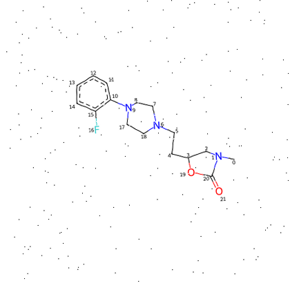 CN1CC(CCN2CCN(c3ccccc3F)CC2)OC1=O